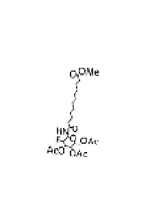 COC(=O)CCCCCCCCCCC(=O)N[C@@H]1O[C@H](COC(C)=O)[C@@H](OC(C)=O)[C@H](OC(C)=O)[C@H]1F